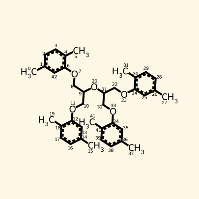 Cc1ccc(C)c(OCC(COc2cc(C)ccc2C)OC(COc2cc(C)ccc2C)COc2cc(C)ccc2C)c1